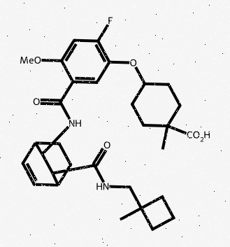 COc1cc(F)c(OC2CCC(C)(C(=O)O)CC2)cc1C(=O)NC1C2C=CC(CC2)C1C(=O)NCC1(C)CCC1